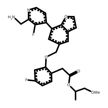 COCC(C)OC(=O)Cc1ccc(F)cc1OCc1cc(-c2ccnc(CN)c2F)c2occc2c1